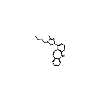 CCCCN1CC(c2cccc3c2C=Cc2ccccc2N3)N=C1C